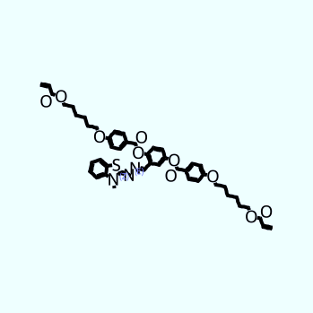 C=CC(=O)OCCCCCCOc1ccc(C(=O)Oc2ccc(OC(=O)c3ccc(OCCCCCCOC(=O)C=C)cc3)c(/C=N/N=c3\sc4ccccc4n3C)c2)cc1